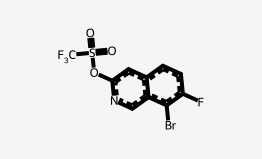 O=S(=O)(Oc1cc2ccc(F)c(Br)c2cn1)C(F)(F)F